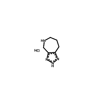 C1CNCc2n[nH]nc2C1.Cl